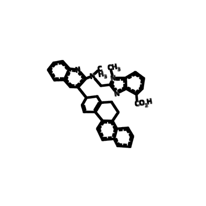 CN(Cc1nc2c(C(=O)O)cccc2n1C)c1nc2ccccc2cc1C1C=CC2=C(CCc3c2ccc2ccccc32)C1